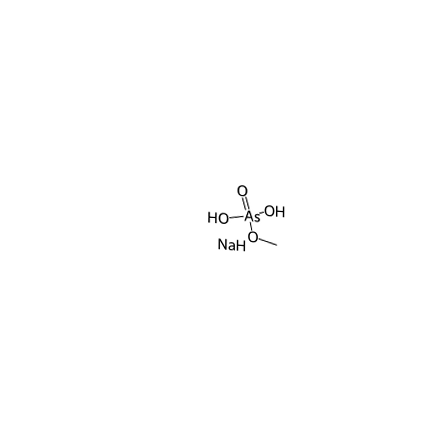 CO[As](=O)(O)O.[NaH]